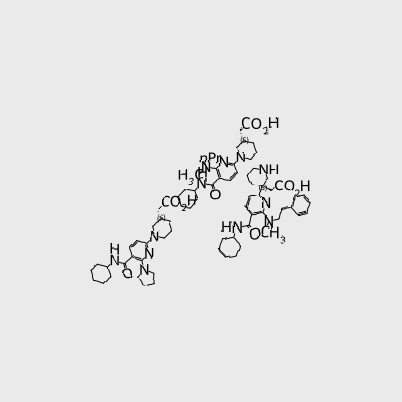 CCCN(C)c1nc(N2CCC[C@@H](CC(=O)O)C2)ccc1C(=O)NC1CCCCC1.CN(CCc1ccccc1)c1nc([C@]2(CC(=O)O)CCCNC2)ccc1C(=O)NC1CCCCC1.O=C(O)C[C@@H]1CCCN(c2ccc(C(=O)NC3CCCCC3)c(N3CCCC3)n2)C1